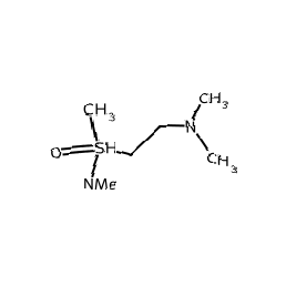 CN[SH](C)(=O)CCN(C)C